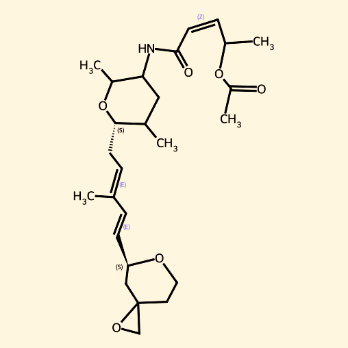 CC(=O)OC(C)/C=C\C(=O)NC1CC(C)[C@H](C/C=C(C)/C=C/[C@@H]2CC3(CCO2)CO3)OC1C